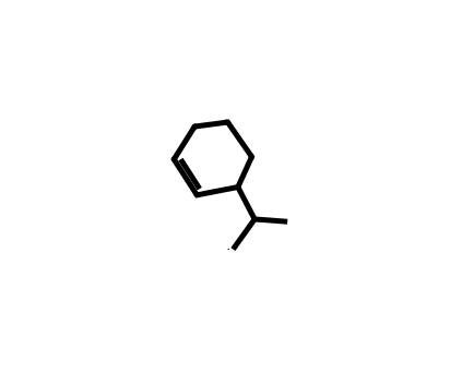 [CH2]C(C)C1C=CCCC1